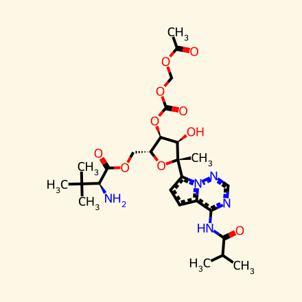 CC(=O)OCOC(=O)O[C@H]1[C@@H](O)[C@](C)(c2ccc3c(NC(=O)C(C)C)ncnn23)O[C@@H]1COC(=O)[C@@H](N)C(C)(C)C